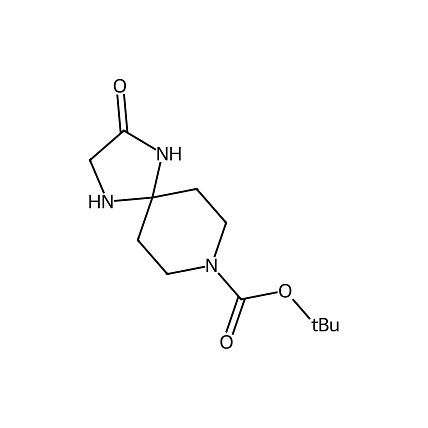 CC(C)(C)OC(=O)N1CCC2(CC1)NCC(=O)N2